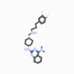 CN(C)c1nc(N[C@H]2CC[C@@H](CNCCCc3ccc(F)c(F)c3)CC2)nc2ccccc12